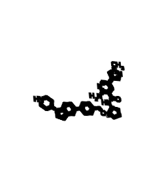 Cn1cc(-c2cnc(N)c(C(=O)N[C@H]3CCC[C@@H]3OCc3ccc(-c4ccc5c(ccn5C5CCNCC5)c4)cc3)c2)cn1